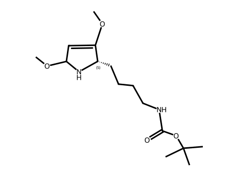 COC1=CC(OC)N[C@H]1CCCCNC(=O)OC(C)(C)C